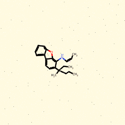 C/C=C\Nc1c(C(C)(CC)CCC)ccc2c1oc1ccccc12